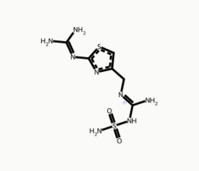 NC(N)=Nc1nc(C/N=C(\N)NS(N)(=O)=O)cs1